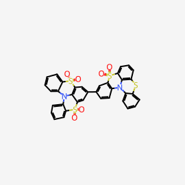 O=S1(=O)c2cc(-c3cc4c5c(c3)S(=O)(=O)c3ccccc3N5c3ccccc3S4(=O)=O)ccc2N2c3ccccc3Sc3cccc1c32